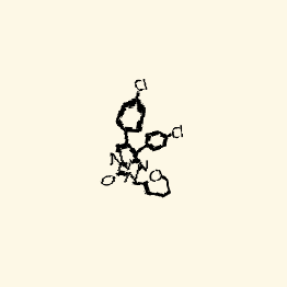 O=c1n(CC2CCCCO2)nc2c(-c3ccc(Cl)cc3)c(-c3ccc(Cl)cc3)cnn12